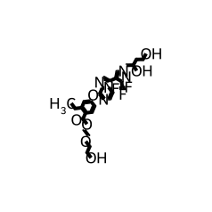 CCc1cc(Oc2nccn3c(-c4cn(CC(O)CCO)nc4C(F)(F)F)cnc23)ccc1C(=O)OCCOCCO